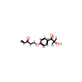 C=CC(=O)CCOc1ccc(C(=O)C(C)(C)O)cc1